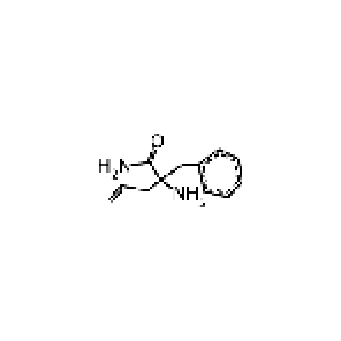 C=CCC(N)(Cc1ccccc1)C(N)=O